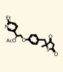 CCc1ccc([C@@H](COc2ccc(CC3(C)SC(=O)CC3=O)cc2)OC(C)=O)cn1